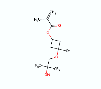 C=C(C)C(=O)OC1CC(OCC(O)(C(F)(F)F)C(F)(F)F)(C(C)C)C1